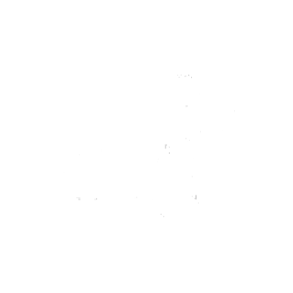 CNc1cccc(C(=O)Nc2cc(-c3cccc(O)c3)cc(N)c2C=N)c1